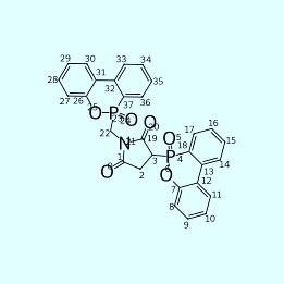 O=C1CC(P2(=O)Oc3ccccc3-c3ccccc32)C(=O)N1CP1(=O)Oc2ccccc2-c2ccccc21